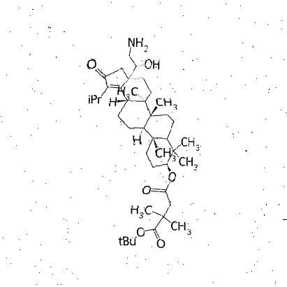 CC(C)C1=C2[C@H]3CC[C@@H]4[C@@]5(C)CC[C@H](OC(=O)CC(C)(C)C(=O)OC(C)(C)C)C(C)(C)C5CC[C@@]4(C)[C@]3(C)CC[C@@]2([C@@H](O)CN)CC1=O